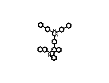 c1ccc(-c2ccc(-c3cc(-c4ccc(-c5cc6c(-c7ccc8ccccc8c7)nc7ccccc7c6c6ccccc56)cc4)nc(-c4ccc(-c5ccccc5)cc4)n3)cc2)cc1